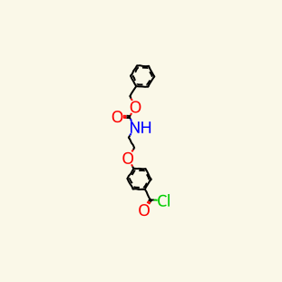 O=C(NCCOc1ccc(C(=O)Cl)cc1)OCc1ccccc1